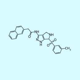 Cc1cccc(S(=O)(=O)C2NCc3c(NC(=O)Cc4ccc5ccccc5c4)n[nH]c32)c1